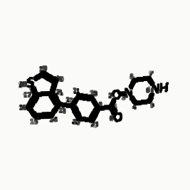 O=C(ON1CCNCC1)c1ccc(-c2cccc3sccc23)cc1